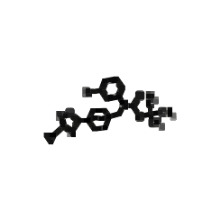 CC(C)(OC(=O)N(CC12CCC(c3nc(C4CC4)no3)(CC1)CC2)c1cccc(Br)c1)C(F)(F)F